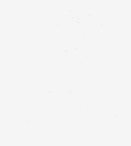 c1ccc(-c2ccc(-c3ccc(N(c4ccc(-c5ccc(-c6ccccc6)cc5)cc4)c4ccc(-c5ccc(-c6cc7c8ccccc8n8c9ccccc9c(c6)c78)cc5)cc4)cc3)cc2)cc1